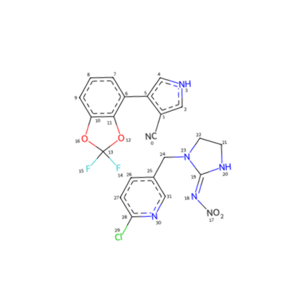 N#Cc1c[nH]cc1-c1cccc2c1OC(F)(F)O2.O=[N+]([O-])/N=C1\NCCN1Cc1ccc(Cl)nc1